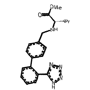 COC(=O)[C@@H](NCc1ccc(-c2ccccc2-c2nnn[nH]2)cc1)C(C)C